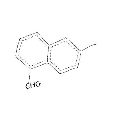 Cc1ccc2c([C]=O)cccc2c1